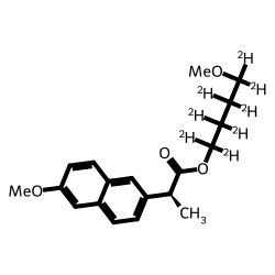 [2H]C([2H])(OC)C([2H])([2H])C([2H])([2H])C([2H])([2H])OC(=O)[C@@H](C)c1ccc2cc(OC)ccc2c1